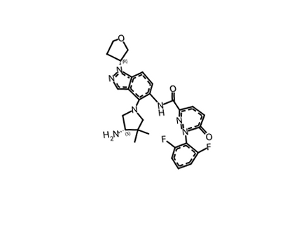 CC1(C)CN(c2c(NC(=O)c3ccc(=O)n(-c4c(F)cccc4F)n3)ccc3c2cnn3[C@@H]2CCOC2)C[C@H]1N